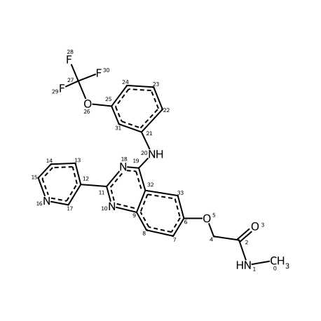 CNC(=O)COc1ccc2nc(-c3cccnc3)nc(Nc3cccc(OC(F)(F)F)c3)c2c1